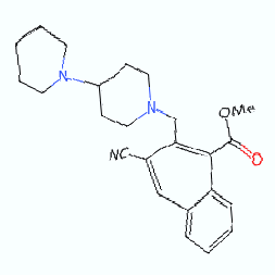 COC(=O)c1c(CN2CCC(N3CCCCC3)CC2)c(C#N)cc2ccccc12